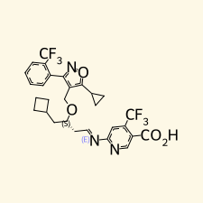 O=C(O)c1cnc(/N=C/C[C@H](CC2CCC2)OCc2c(-c3ccccc3C(F)(F)F)noc2C2CC2)cc1C(F)(F)F